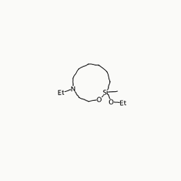 CCO[Si]1(C)CCCCCCN(CC)CCO1